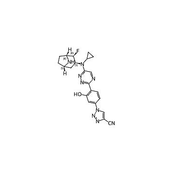 N#Cc1cn(-c2ccc(-c3ncc(N(C4CC4)[C@H]4C[C@@H]5CC[C@@H](N5)[C@H]4F)nn3)c(O)c2)nn1